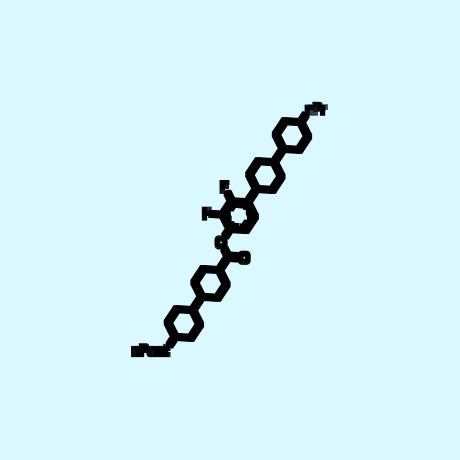 CCCCCC1CCC(C2CCC(C(=O)Oc3ccc(C4CCC(C5CCC(CCC)CC5)CC4)c(F)c3F)CC2)CC1